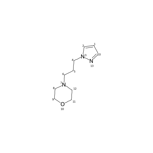 [c]1ccn(CCCN2CCOCC2)n1